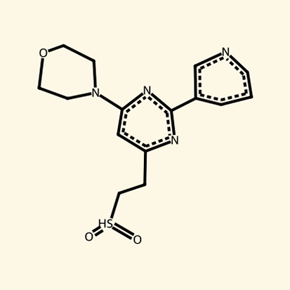 O=[SH](=O)CCc1cc(N2CCOCC2)nc(-c2cccnc2)n1